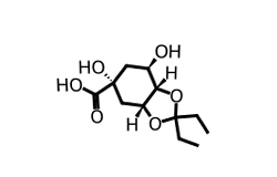 CCC1(CC)O[C@H]2[C@H](O)C[C@](O)(C(=O)O)C[C@H]2O1